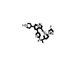 CC(c1ccc(-n2cc(F)cn2)nc1)N(C)c1ccc(-c2cc(C3CCNCC3)cn3ncc(C#N)c23)cn1